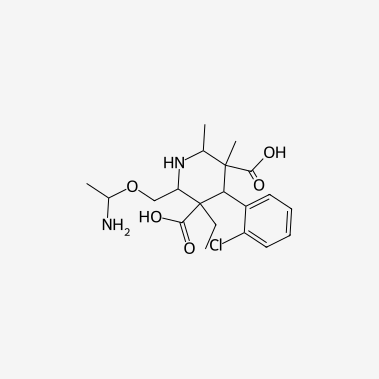 CCC1(C(=O)O)C(COC(C)N)NC(C)C(C)(C(=O)O)C1c1ccccc1Cl